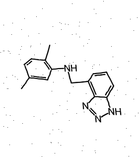 Cc1ccc(C)c(NCc2cccc3[nH]nnc23)c1